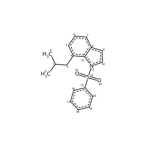 CC(C)Cc1cccc2ccn(S(=O)(=O)c3ccccc3)c12